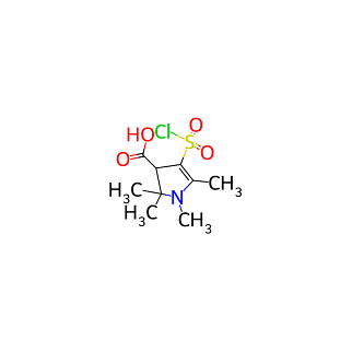 CC1=C(S(=O)(=O)Cl)C(C(=O)O)C(C)(C)N1C